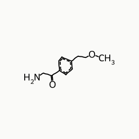 COCCc1ccc(C(=O)CN)cc1